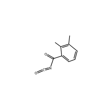 Cc1cccc(C(=O)N=C=O)c1C